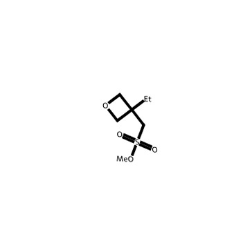 CCC1(CS(=O)(=O)OC)COC1